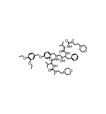 CCOc1ccc(COc2ccc(CN(CC(O)C(Cc3ccccc3)NC(=O)[C@@H](NC(=O)N(C)CCN3CCOCC3)C(C)C)NC(=O)[C@@H](NC(=O)N(C)CCN3CCOCC3)C(C)C)cc2)cc1OCC